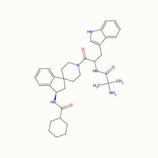 CC(C)(N)C(=O)NC(Cc1c[nH]c2ccccc12)C(=O)N1CCC2(CC1)C[C@@H](NC(=O)C1CCCCC1)c1ccccc12